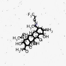 C/C(=N\OCC(F)(F)F)c1cc(N)c(O)c2c1C[C@H]1C[C@H]3[C@@H](N(C)C)C(O)=C(C(N)=O)C(=O)[C@@]3(O)C(O)=C1C2=O